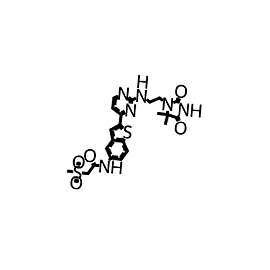 CC1(C)C(=O)NC(=O)N1CCNc1nccc(-c2cc3cc(NC(=O)CS(C)(=O)=O)ccc3s2)n1